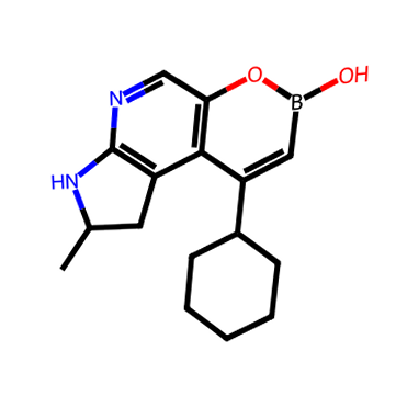 CC1Cc2c(ncc3c2C(C2CCCCC2)=CB(O)O3)N1